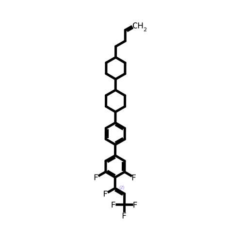 C=CCCC1CCC(C2CCC(c3ccc(-c4cc(F)c(/C(F)=C/C(F)(F)F)c(F)c4)cc3)CC2)CC1